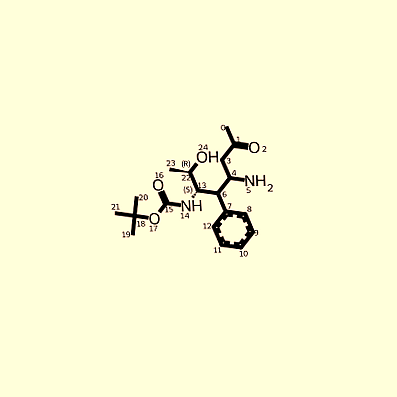 CC(=O)CC(N)C(c1ccccc1)[C@H](NC(=O)OC(C)(C)C)[C@@H](C)O